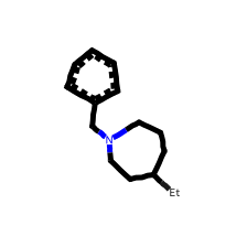 CCC1CCCN(Cc2ccccc2)CC1